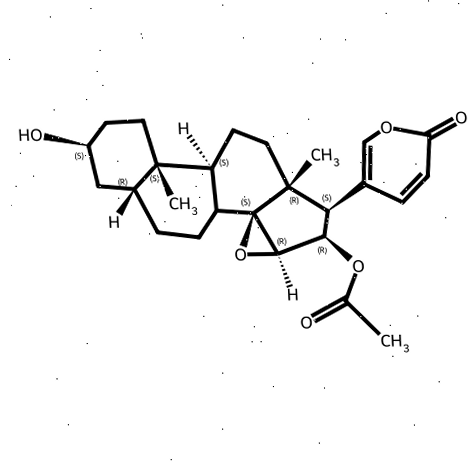 CC(=O)O[C@H]1[C@H]2O[C@]23C2CC[C@@H]4C[C@@H](O)CC[C@]4(C)[C@H]2CC[C@]3(C)[C@H]1c1ccc(=O)oc1